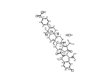 CC(C)C1=C2[C@H]3CC[C@@H]4[C@@]5(C)CC=C(c6ccc(C(=O)O)cc6)C(C)(C)[C@@H]5CC[C@@]4(C)[C@]3(C)CC[C@@]2(C(=O)N(CCN(C)C)C(C)c2ccc(Cl)cc2)CC1=O.Cl